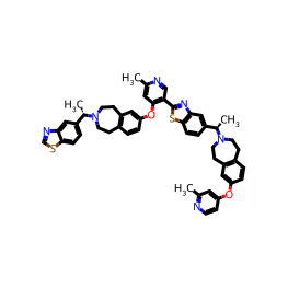 Cc1cc(Oc2ccc3c(c2)CCN([C@H](C)c2ccc4sc(-c5cnc(C)cc5Oc5ccc6c(c5)CCN([C@@H](C)c5ccc7scnc7c5)CC6)nc4c2)CC3)ccn1